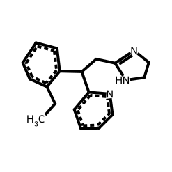 CCc1ccccc1C(CC1=NCCN1)c1ccccn1